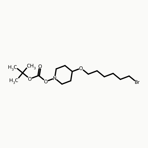 CC(C)(C)OC(=O)ON1CCC(OCCCCCCBr)CC1